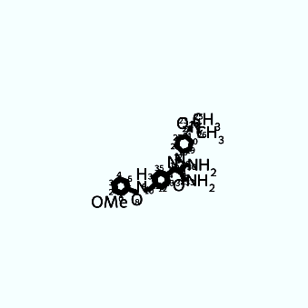 COc1ccccc1C(=O)NCc1ccc(-c2nn([C@H]3CC[C@@H](C(=O)N(C)C)CC3)c(N)c2C(N)=O)cc1